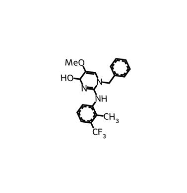 COC1=CN(Cc2ccccc2)C(Nc2cccc(C(F)(F)F)c2C)=NC1O